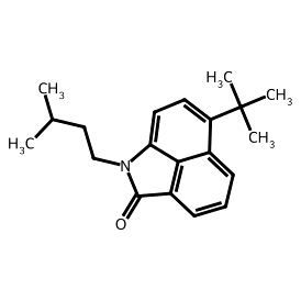 CC(C)CCN1C(=O)c2cccc3c(C(C)(C)C)ccc1c23